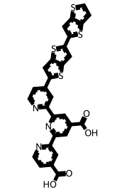 O=C(O)c1ccnc(-c2cc(C(=O)O)cc(-c3cc(-c4cc5sc(-c6cc7sccc7s6)cc5s4)ccn3)n2)c1